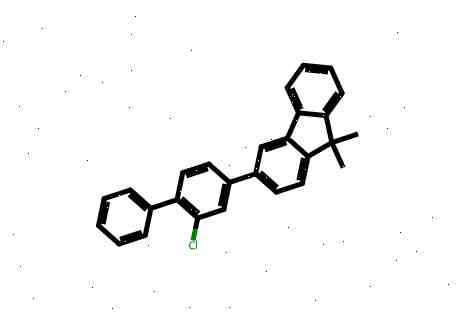 CC1(C)c2ccccc2-c2cc(-c3ccc(-c4ccccc4)c(Cl)c3)ccc21